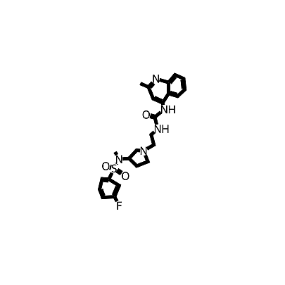 Cc1cc(NC(=O)NCCN2CCC(N(C)S(=O)(=O)c3cccc(F)c3)C2)c2ccccc2n1